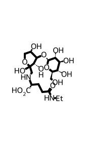 CCNC(=O)CC[C@H](NCC1(O)OC[C@@H](O)C(O[C@H]2O[C@H](CO)[C@@H](O)[C@H](O)[C@H]2O)[C@@H]1O)C(=O)O